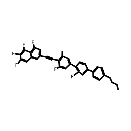 CCCCc1ccc(-c2ccc(-c3cc(C)c(C#Cc4cc(F)c5c(F)c(F)c(F)cc5c4)c(F)c3)c(F)c2)cc1